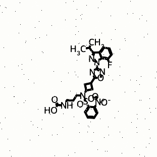 CC(C)c1nn(-c2noc(C3CC(N(CCCNC(=O)O)S(=O)(=O)c4ccccc4[N+](=O)[O-])C3)n2)c2c(F)cccc12